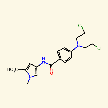 Cn1cc(NC(=O)c2ccc(N(CCCl)CCCl)cc2)cc1C(=O)O